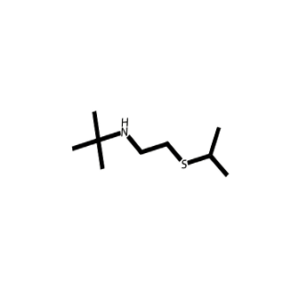 CC(C)SCCNC(C)(C)C